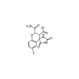 CCC(=O)C1C(C(N)=O)Oc2ccc(F)cc2C12NC(=O)NC2=O